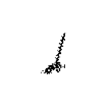 CCCCCCCCC=CCCCCCCCC(=O)NC(Cn1ccc2cc(Cl)ccc21)C(=O)O